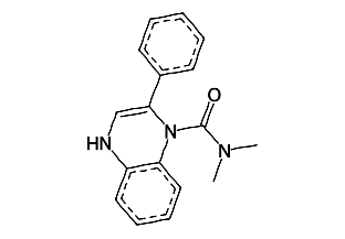 CN(C)C(=O)N1C(c2ccccc2)=CNc2ccccc21